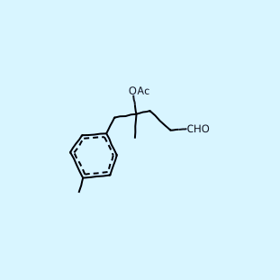 CC(=O)OC(C)(CCC=O)Cc1ccc(C)cc1